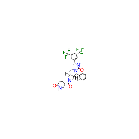 Cc1ccccc1[C@H]1[C@@H]2CN(C(=O)C3CCC(=O)N(C)C3)C[C@H]2CCN1C(=O)N(C)[C@H](C)c1cc(C(F)(F)F)cc(C(F)(F)F)c1